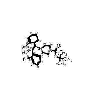 CC(C)(C)OC(=O)N1CCN([C@H](c2ccccc2Br)[C@@H](N)c2ccccc2Br)CC1